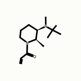 C=CC(=O)N1CCC[C@@H](N(C)C(C)(C)C)[C@H]1C